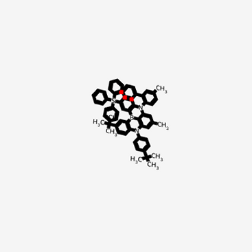 Cc1ccc(N2c3ccc([Si](c4ccccc4)(c4ccccc4)c4ccccc4)cc3B3c4cc(C(C)(C)C)ccc4N(c4ccc(C(C)(C)C)cc4)c4cc(C)cc2c43)c(-c2ccccc2)c1